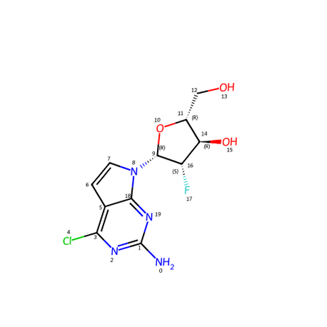 Nc1nc(Cl)c2ccn([C@@H]3O[C@H](CO)[C@@H](O)[C@@H]3F)c2n1